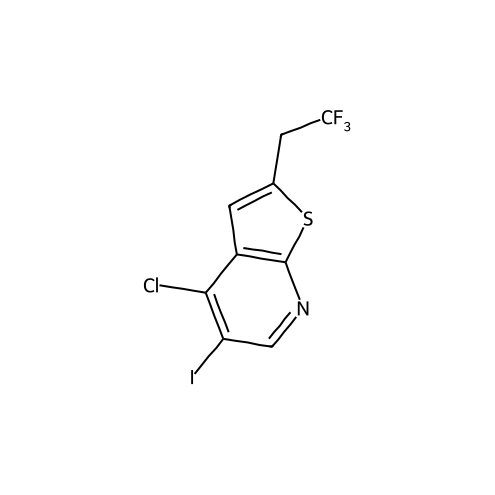 FC(F)(F)Cc1cc2c(Cl)c(I)cnc2s1